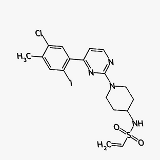 C=CS(=O)(=O)NC1CCN(c2nccc(-c3cc(Cl)c(C)cc3I)n2)CC1